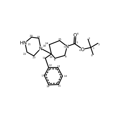 CC(C)(C)OC(=O)N1CCC(Cc2ccccc2)(N2CCNCC2)CC1